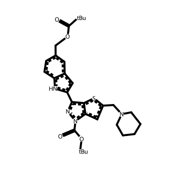 CC(C)(C)OC(=O)n1nc(-c2cc3cc(COC(=O)C(C)(C)C)ccc3[nH]2)c2sc(CN3CCCCC3)cc21